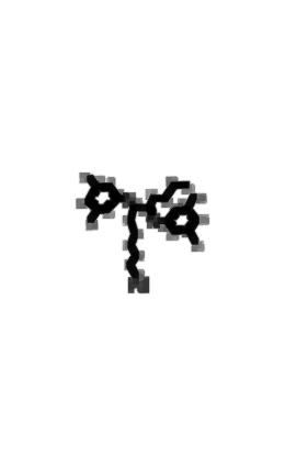 CCCCCCC(=N\c1cc(C)cc(C)c1)/C(CCCC)=N/c1cc(C)cc(C)c1.[Pd]